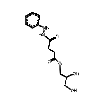 O=C(CCC(=O)OCC(O)CO)NNc1ccccc1